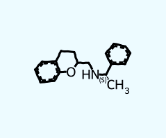 C[C@H](NCC1CCc2ccccc2O1)c1ccccc1